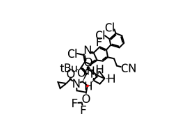 CC(C)(C)OC(=O)N1C[C@H]2C[C@@H]1[C@H]2n1c([C@H]2C[C@H](OC(F)F)CN2C(=O)C2CC2)cc2c(Cl)nc3c(F)c(-c4cccc(Cl)c4Cl)c(CCC#N)cc3c21